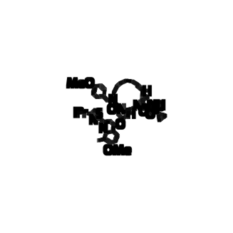 COc1ccc(CN2CCCCC/C=C\[C@@H]3C[C@@]3(C(=O)NS(=O)(=O)C3CC3)NC[C@@H]3C[C@@H](Oc4cc(-c5nc(C(C)C)cs5)nc5c(C)c(OC)ccc45)CN3C2=O)cc1